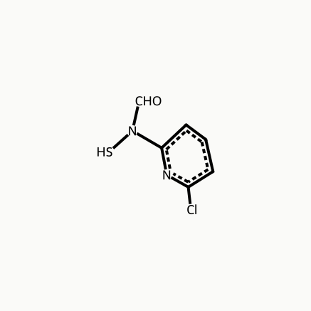 O=CN(S)c1cccc(Cl)n1